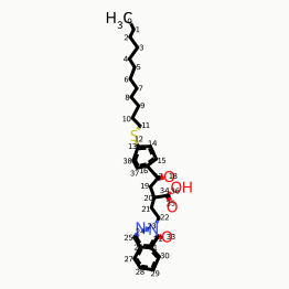 CCCCCCCCCCCCSc1ccc(C(=O)CC(CCn2ncc3ccccc3c2=O)C(=O)O)cc1